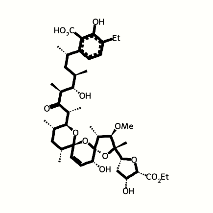 CCOC(=O)[C@H]1O[C@@H]([C@]2(C)O[C@]3(O[C@]4(C=C[C@H]3O)O[C@H]([C@@H](C)C(=O)[C@@H](C)[C@@H](O)[C@H](C)C[C@H](C)c3ccc(CC)c(O)c3C(=O)O)[C@@H](C)C[C@H]4C)[C@H](C)[C@H]2OC)C[C@H]1O